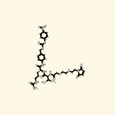 CC(C)[C@H](NC(=O)COCCOCCN1C(=O)C=CC1=O)C(=O)N[C@@H](CCCNC(N)=O)C(=O)Nc1ccc(COC(=O)Oc2ccc([N+](=O)[O-])cc2)cc1